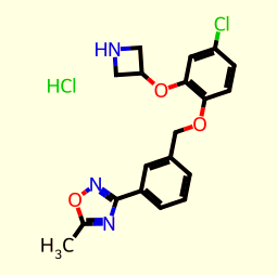 Cc1nc(-c2cccc(COc3ccc(Cl)cc3OC3CNC3)c2)no1.Cl